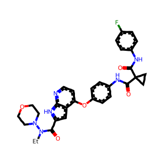 CCN(C(=O)c1cc2c(Oc3ccc(NC(=O)C4(C(=O)Nc5ccc(F)cc5)CC4)cc3)ccnc2[nH]1)N1CCOCC1